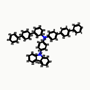 c1ccc(-c2ccc(-c3ccc(N(c4ccc(-n5c6ccccc6c6ccccc65)cc4)c4cccc(-c5ccc(-c6ccccc6)cc5)c4)cc3)cc2)cc1